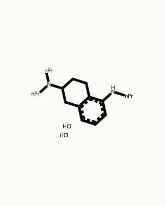 CCCNc1cccc2c1CCC(N(CCC)CCC)C2.Cl.Cl